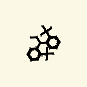 CCC(c1ccccc1C(C)(C)C)c1ccccc1C(C)(C)C